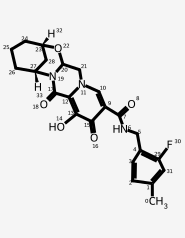 Cc1ccc(CNC(=O)c2cn3c(c(O)c2=O)C(=O)N2C(C3)O[C@H]3CCC[C@@H]2C3)c(F)c1